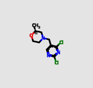 C[C@H]1CN(Cc2cnc(Cl)nc2Cl)CCO1